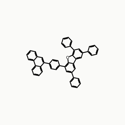 c1ccc(-c2cc(-c3ccccc3)c3oc4c(-c5ccc(-c6cc7ccccc7c7ccccc67)cc5)cc(-c5ccccc5)cc4c3c2)cc1